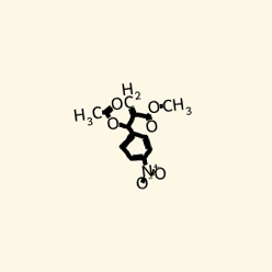 C=C(C(=O)OC)C(OC(C)=O)c1ccc([N+](=O)[O-])cc1